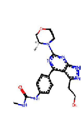 CNC(=O)Nc1ccc(-c2nc(N3CCOC[C@H]3C)nc3[nH]nc(CCO)c23)cc1